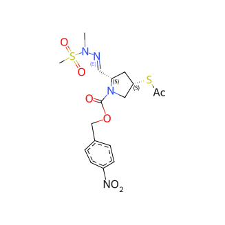 CC(=O)S[C@H]1C[C@@H](/C=N/N(C)S(C)(=O)=O)N(C(=O)OCc2ccc([N+](=O)[O-])cc2)C1